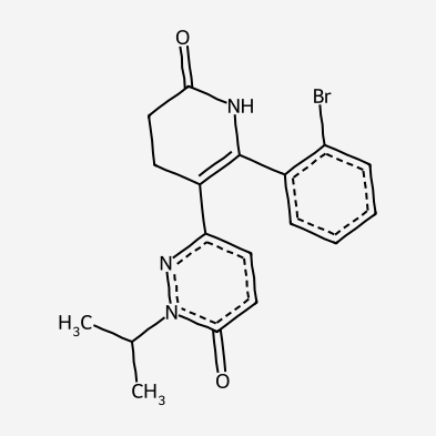 CC(C)n1nc(C2=C(c3ccccc3Br)NC(=O)CC2)ccc1=O